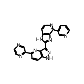 c1cncc(-c2nccc3[nH]c(-c4n[nH]c5ccc(-c6cnccn6)nc45)nc23)c1